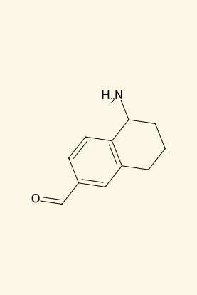 NC1CCCc2cc(C=O)ccc21